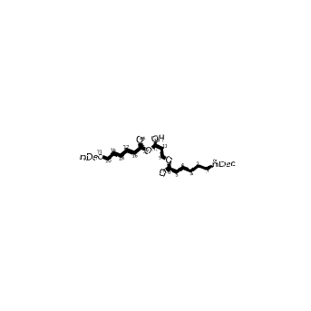 CCCCCCCCCCCCCCCC(=O)OCCC(O)OC(=O)CCCCCCCCCCCCCCC